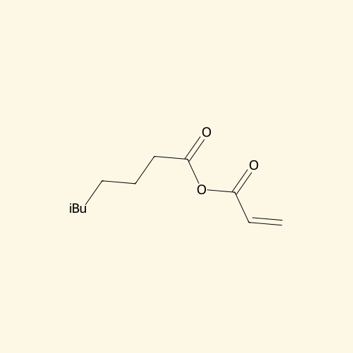 C=CC(=O)OC(=O)CCCC(C)CC